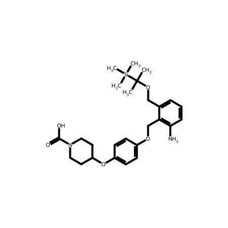 CC(C)(OCc1cccc(N)c1COc1ccc(OC2CCN(C(=O)O)CC2)cc1)[Si](C)(C)C